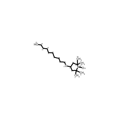 CC1(C)CC(OCCCCCCCCCO)CC(C)(C)N1[O]